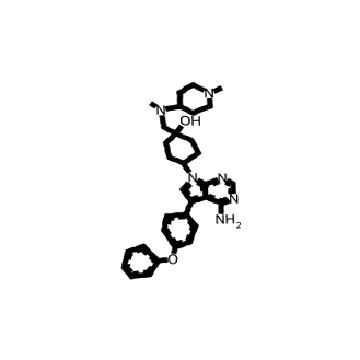 CN1CCC(N(C)CC2(O)CCC(n3cc(-c4ccc(Oc5ccccc5)cc4)c4c(N)ncnc43)CC2)CC1